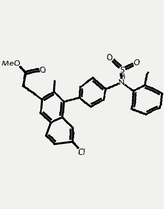 COC(=O)Cc1cc2ccc(Cl)cc2c(-c2ccc(N(c3ccccc3C)[SH](=O)=O)cc2)c1C